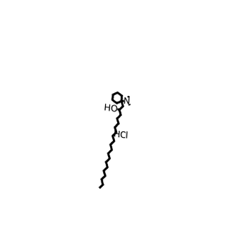 CCCCCCCCCCCCCCCCCCC(O)CC1(N(C)C)CCCCC1.Cl